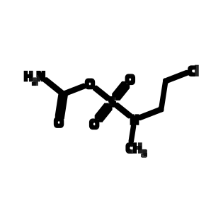 CN(CCCl)S(=O)(=O)OC(N)=O